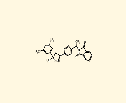 CC(c1ccc(C2=NOC(c3cc(C(F)(F)F)cc(C(F)(F)F)c3)(C(F)(F)F)C2)cc1)N1C(=O)c2ccccc2C1=O